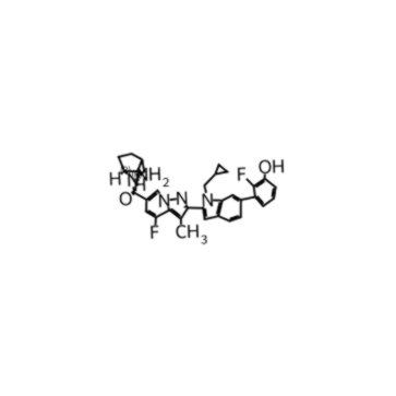 Cc1c(-c2cc3ccc(-c4cccc(O)c4F)cc3n2CC2CC2)nn2cc(C(=O)N3CC4CC[C@@H]3[C@@H]4N)cc(F)c12